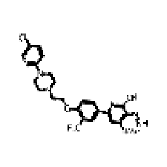 CNc1cc(-c2ccc(OCCN3CCN(c4ccc(Cl)cn4)CC3)c(C(F)(F)F)c2)nc(C#N)c1N=N